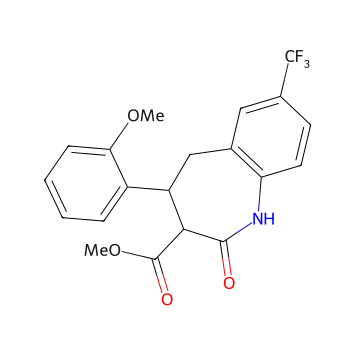 COC(=O)C1C(=O)Nc2ccc(C(F)(F)F)cc2CC1c1ccccc1OC